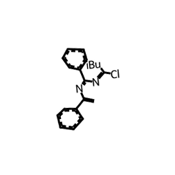 C=C(/N=C(\N=C(\Cl)C(C)CC)c1ccccc1)c1ccccc1